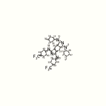 Cc1ccc(N(C)C2=NC(N(C)c3ccc(C)cc3)=c3cc4c(cc32)=C(N(C)c2ccc(C(F)(F)F)cc2)N=C4N(C)c2ccc(C(F)(F)F)cc2)cc1